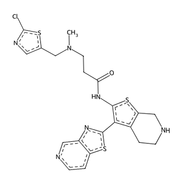 CN(CCC(=O)Nc1sc2c(c1-c1nc3cnccc3s1)CCNC2)Cc1cnc(Cl)s1